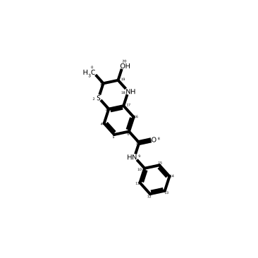 CC1Sc2ccc(C(=O)Nc3ccccc3)cc2NC1O